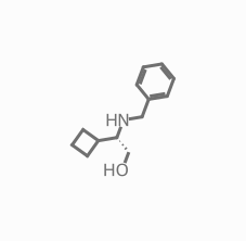 OC[C@@H](NCc1ccccc1)C1CCC1